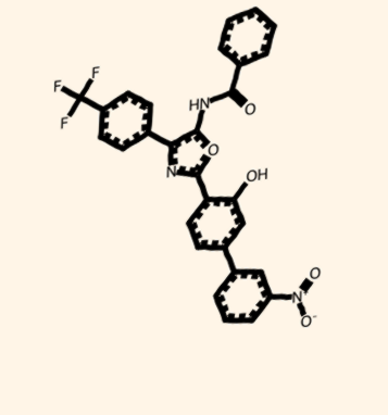 O=C(Nc1oc(-c2ccc(-c3cccc([N+](=O)[O-])c3)cc2O)nc1-c1ccc(C(F)(F)F)cc1)c1ccccc1